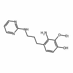 CCOc1c(O)ccc(CCCNc2ncccn2)c1N